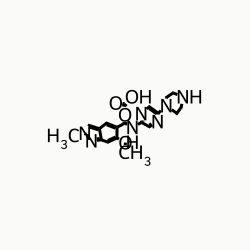 COc1cc2nn(C)cc2cc1C(=O)Nc1cnc(N2CCNCC2)cn1.O=CO